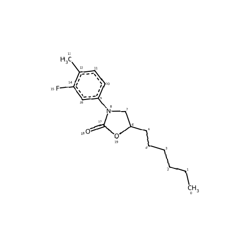 CCCCCCC1CN(c2ccc(C)c(F)c2)C(=O)O1